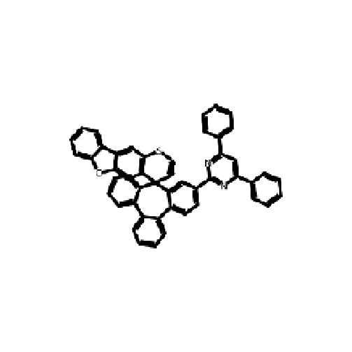 c1ccc(-c2cc(-c3ccccc3)nc(-c3ccc4c(c3)C3(c5ccccc5Sc5cc6c(cc53)oc3ccccc36)c3ccccc3-c3ccccc3-4)n2)cc1